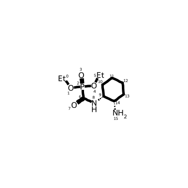 CCOP(=O)(OCC)C(=O)N[C@@H]1CCCC[C@@H]1N